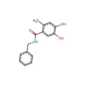 Cc1cc(O)c(O)cc1C(=O)NCc1ccccc1